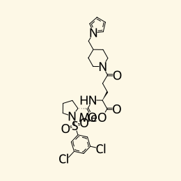 COC(=O)[C@H](CCC(=O)N1CCC(Cn2cccc2)CC1)NC(=O)[C@H]1CCCN1S(=O)(=O)c1cc(Cl)cc(Cl)c1